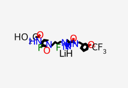 O=C(O)C(=O)Nc1ccn(CCC(F)Cn2cc(C(=O)NCc3cccc(OC(F)(F)F)c3)nn2)c(=O)c1F.[LiH]